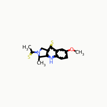 COc1ccc2[nH]c3c(c(=S)c2c1)CN(C(C)=S)C3C